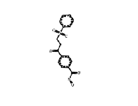 O=NC(=O)c1ccc(C(=O)CCS(=O)(=O)c2ccccc2)cc1